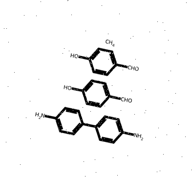 C.Nc1ccc(-c2ccc(N)cc2)cc1.O=Cc1ccc(O)cc1.O=Cc1ccc(O)cc1